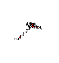 CCCNCCN[Si](C)(O)O[Si](C)(CCCOCCOCCOCCOCCOCCOCCOCCOCCO)O[Si](C)(C)OC